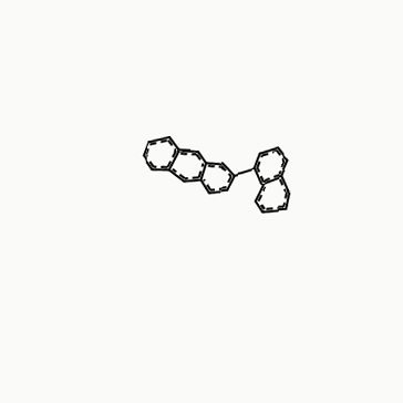 c1ccc2cc3cc(-c4cccc5ccccc45)ccc3cc2c1